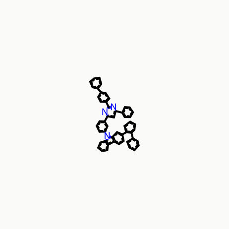 c1ccc(-c2ccc(-c3nc(-c4ccccc4)cc(-c4cccc(-n5c6ccccc6c6ccc(-c7ccccc7-c7ccccc7)cc65)c4)n3)cc2)cc1